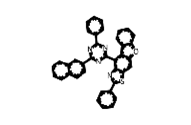 c1ccc(-c2nc(-c3ccc4ccccc4c3)nc(-c3c4nc(-c5ccccc5)sc4cc4oc5ccccc5c34)n2)cc1